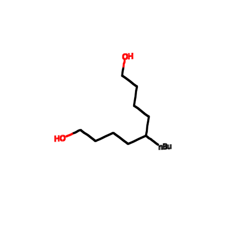 CCCCC(CCCCO)CCCCO